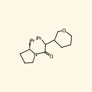 CC(C)C(C(=O)N1CCC[C@H]1C(C)C)C1CCCOC1